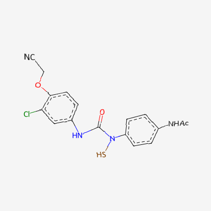 CC(=O)Nc1ccc(N(S)C(=O)Nc2ccc(OCC#N)c(Cl)c2)cc1